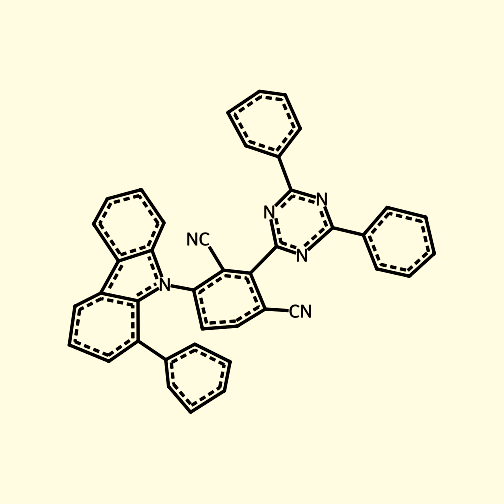 N#Cc1ccc(-n2c3ccccc3c3cccc(-c4ccccc4)c32)c(C#N)c1-c1nc(-c2ccccc2)nc(-c2ccccc2)n1